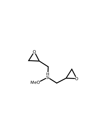 CO[SiH](CC1CO1)CC1CO1